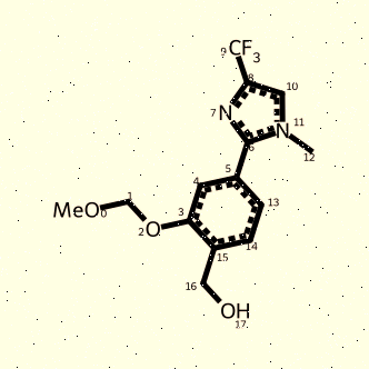 COCOc1cc(-c2nc(C(F)(F)F)cn2C)ccc1CO